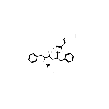 CCOC(=O)C=Cc1cnc(C(Cc2ccccc2)CC(O)C(Cc2ccccc2)NC(=O)OC(C)(C)C)s1